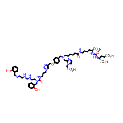 O=C(O)CCC(NC(=O)NC(CCCCNC(=O)CCCCCN(Cc1ccc(OCc2cn(CCCNC(=O)N(CCNCNCC/N=C\c3ccccc3O)Cc3ccccc3O)nn2)cc1)Cc1nccn1CC(=O)O)C(=O)O)C(=O)O